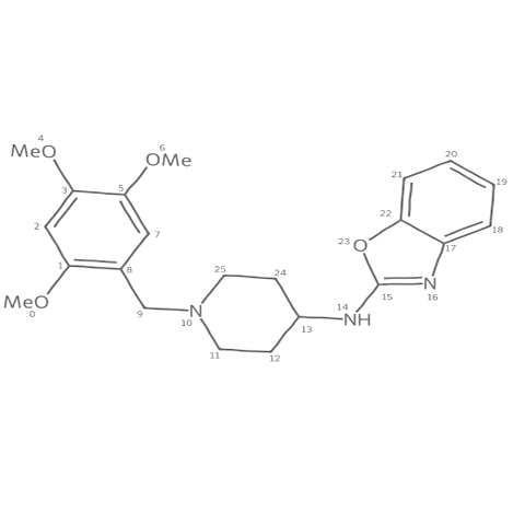 COc1cc(OC)c(OC)cc1CN1CCC(Nc2nc3ccccc3o2)CC1